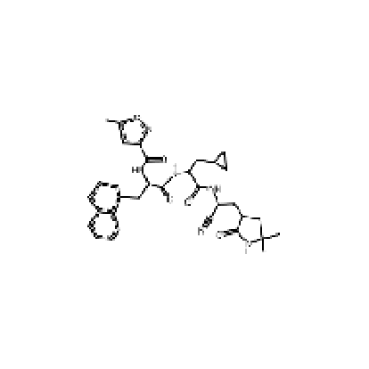 Cc1cc(C(=O)NC(Cc2cccc3ccccc23)C(=O)NC(CC2CC2)C(=O)NC(C#N)CC2CC(C)(C)NC2=O)no1